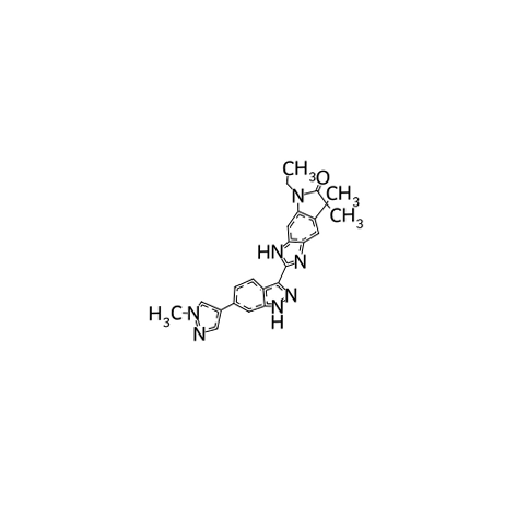 CCN1C(=O)C(C)(C)c2cc3nc(-c4n[nH]c5cc(-c6cnn(C)c6)ccc45)[nH]c3cc21